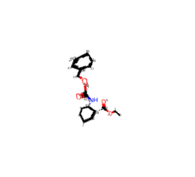 CCOC(=O)[C@@H]1CCCC[C@@H]1NC(=O)OCc1ccccc1